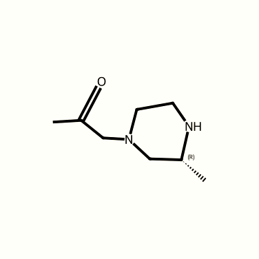 CC(=O)CN1CCN[C@H](C)C1